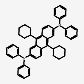 c1ccc(N(c2ccccc2)c2ccc3c(C4CCCCC4)c4cc(N(c5ccccc5)c5ccccc5)ccc4c(C4CCCCC4)c3c2)cc1